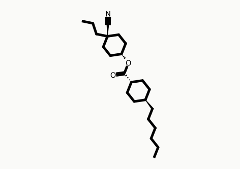 CCCCCC[C@H]1CC[C@H](C(=O)O[C@H]2CC[C@@](C#N)(CCC)CC2)CC1